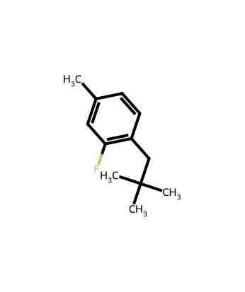 Cc1ccc(CC(C)(C)C)c(F)c1